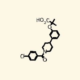 CC(C)(Oc1cccc(C2CCN(C(=O)c3ccc(Cl)cc3)CC2)c1)C(=O)O